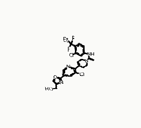 C=C(Nc1ccc(C(F)(F)CC)c(Cl)c1)N1CC=C(c2ncc(-c3nc(CO)co3)cc2Cl)CC1